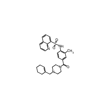 Cc1cc(C(=O)N2CCN(CC3=CCCCC3)CC2)ccc1NS(=O)(=O)c1cccc2cccnc12